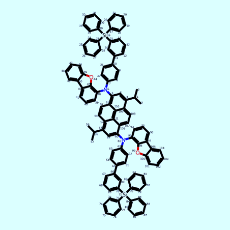 CC(C)c1cc(N(c2ccc(-c3cccc([Si](c4ccccc4)(c4ccccc4)c4ccccc4)c3)cc2)c2cccc3c2oc2ccccc23)c2ccc3c(C(C)C)cc(N(c4ccc(-c5cccc([Si](c6ccccc6)(c6ccccc6)c6ccccc6)c5)cc4)c4cccc5c4oc4ccccc45)c4ccc1c2c34